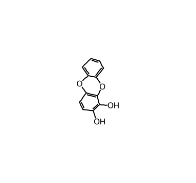 Oc1ccc2c(c1O)Oc1ccccc1O2